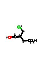 O=C=C(CCl)CC(=O)O